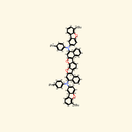 CC(C)c1ccc(N(c2ccc3oc4c(C(C)(C)C)cccc4c3c2)c2cc3oc4c(ccc5c4oc4cc(N(c6ccc(C(C)C)cc6)c6ccc7oc8c(C(C)(C)C)cccc8c7c6)c6ccccc6c45)c3c3ccccc23)cc1